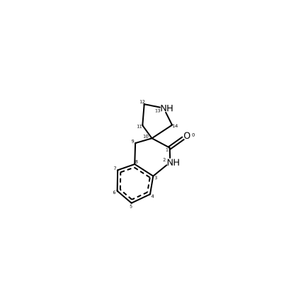 O=C1Nc2ccccc2CC12CCNC2